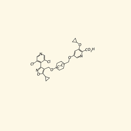 O=C(O)c1ncc(OCC23CCC(OCc4c(-c5c(Cl)cncc5Cl)noc4C4CC4)(CC2)CC3)cc1OC1CC1